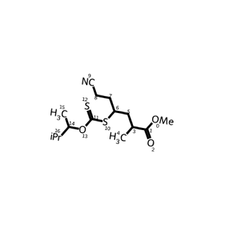 COC(=O)C(C)CC(CCC#N)SC(=S)OC(C)C(C)C